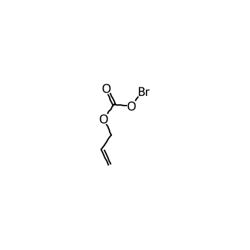 C=CCOC(=O)OBr